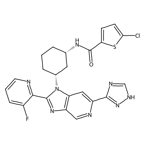 O=C(N[C@H]1CCC[C@@H](n2c(-c3ncccc3F)nc3cnc(-c4nc[nH]n4)cc32)C1)c1ccc(Cl)s1